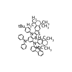 CC(C)(C)c1ccc(N2c3cc(N(c4ccccc4)c4ccccc4)cc4c3B(c3cc5c(cc3N4c3cccc4c3oc3ccccc34)C(C)(C)CCC5(C)C)c3sc4cc5c(cc4c32)C(C)(C)CCC5(C)C)cc1